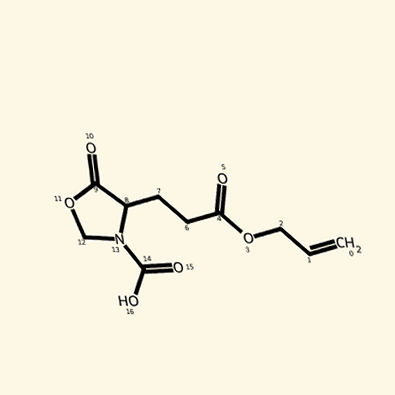 C=CCOC(=O)CCC1C(=O)OCN1C(=O)O